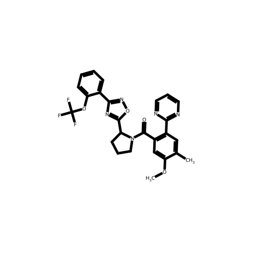 COc1cc(C(=O)N2CCCC2c2nc(-c3ccccc3OC(F)(F)F)no2)c(-c2ncccn2)cc1C